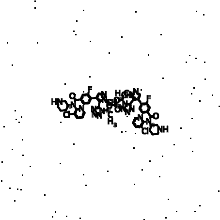 C[C@H](OC(=O)O[C@@H](C)n1nnnc1-c1c(-c2ccc(C(=O)N(c3ncccc3Cl)[C@@H]3CCCNC3)cc2F)cnn1C)n1nnnc1-c1c(-c2ccc(C(=O)N(c3ncccc3Cl)[C@@H]3CCCNC3)cc2F)cnn1C